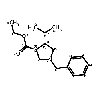 CCOC(=O)[C@@H]1CN(Cc2ccccc2)C[C@H]1C(C)C